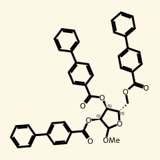 COC1O[C@@H](COC(=O)c2ccc(-c3ccccc3)cc2)[C@H](OC(=O)c2ccc(-c3ccccc3)cc2)[C@@H]1OC(=O)c1ccc(-c2ccccc2)cc1